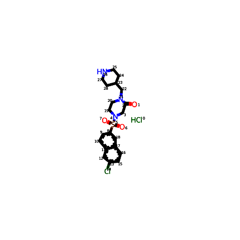 Cl.O=C1CN(S(=O)(=O)c2ccc3cc(Cl)ccc3c2)CCN1CC1CCNCC1